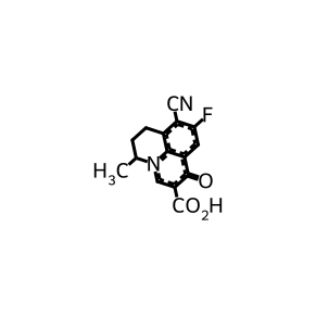 CC1CCc2c(C#N)c(F)cc3c(=O)c(C(=O)O)cn1c23